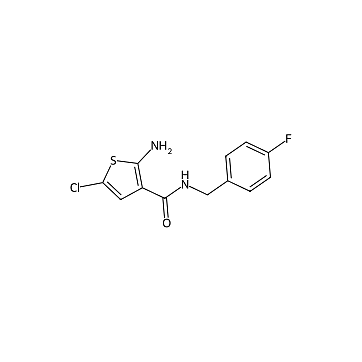 Nc1sc(Cl)cc1C(=O)NCc1ccc(F)cc1